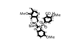 COc1ccc2nc([S+]([O-])Cc3ncc(C)c(OC)c3C)n(S(=O)(=O)c3ccc(OC)c(C(=O)O)c3)c2c1.[NaH]